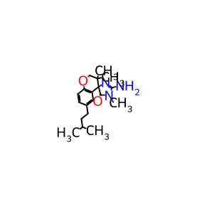 CC(C)CCc1ccc2c(c1)C1(N=C(N)N(C)C1=O)C(C)(C)CO2